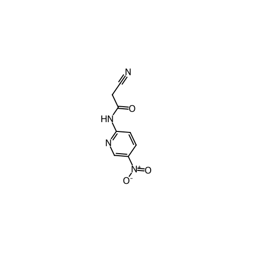 N#CCC(=O)Nc1ccc([N+](=O)[O-])cn1